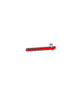 COCCOCCOCCOCCOCCOCCOCCOCCOCCOCCOCCOCCOCCOCCOCCOCCNCCC(=O)OCc1ccccc1